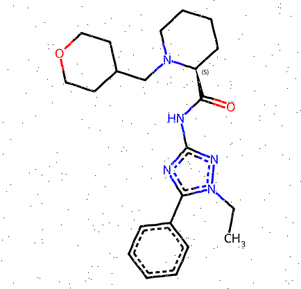 CCn1nc(NC(=O)[C@@H]2CCCCN2CC2CCOCC2)nc1-c1ccccc1